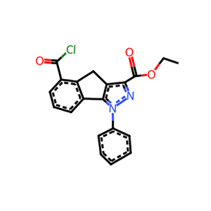 CCOC(=O)c1nn(-c2ccccc2)c2c1Cc1c(C(=O)Cl)cccc1-2